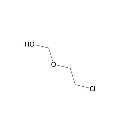 OCOCCCl